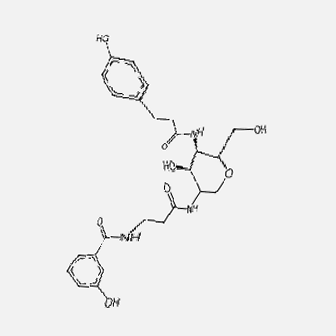 O=C(CCNC(=O)c1cccc(O)c1)NC1COC(CO)[C@H](NC(=O)CCc2ccc(O)cc2)[C@@H]1O